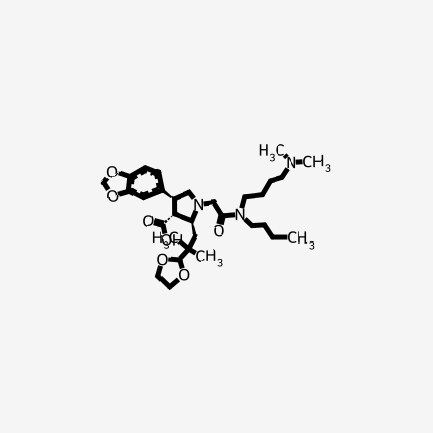 CCCCN(CCCCN(C)C)C(=O)CN1C[C@H](c2ccc3c(c2)OCO3)[C@@H](C(=O)O)[C@@H]1CC(C)(C)C1OCCO1